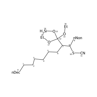 CCCCCCCCCCCCCCCCC(C(CCCCCCCCC)SC#N)C(O[SiH3])(OCC)OCC